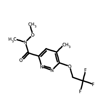 CON(C)C(=O)c1cc(C)c(OCC(F)(F)F)nn1